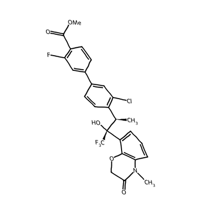 COC(=O)c1ccc(-c2ccc([C@@H](C)[C@@](O)(c3cccc4c3OCC(=O)N4C)C(F)(F)F)c(Cl)c2)cc1F